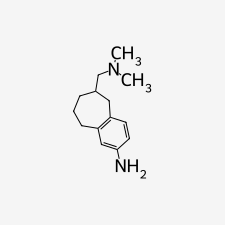 CN(C)CC1CCCc2cc(N)ccc2C1